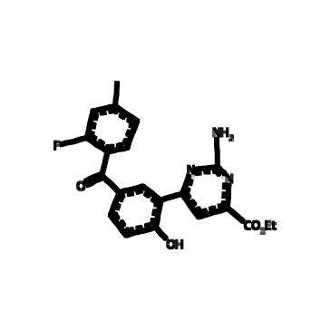 CCOC(=O)c1cc(-c2cc(C(=O)c3ccc(C)cc3F)ccc2O)nc(N)n1